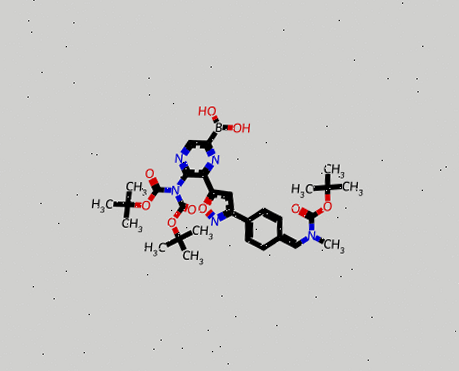 CN(C=C1C=CC(c2cc(-c3nc(B(O)O)cnc3N(C(=O)OC(C)(C)C)C(=O)OC(C)(C)C)on2)=CC1)C(=O)OC(C)(C)C